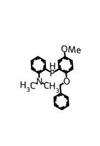 COc1ccc(OCc2ccccc2)c(Pc2ccccc2N(C)C)c1